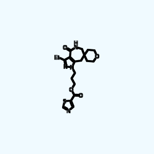 CCc1nn(CCCOC(=O)c2cncs2)c2c1C(=O)NCC1(CCOCC1)C2